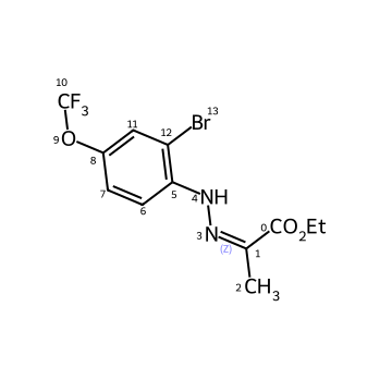 CCOC(=O)/C(C)=N\Nc1ccc(OC(F)(F)F)cc1Br